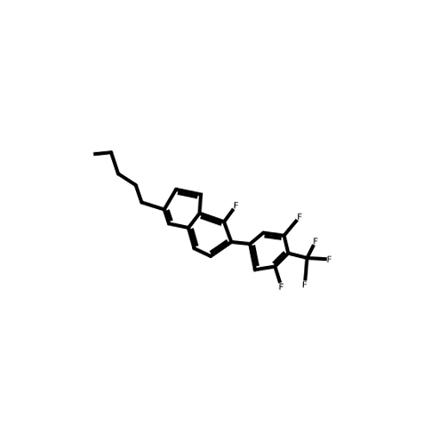 CCCCCc1ccc2c(F)c(-c3cc(F)c(C(F)(F)F)c(F)c3)ccc2c1